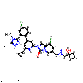 Cn1cnnc1-c1cc(F)ccc1-c1cc(C2CC2)nc(-n2cc3c(F)cc(CNCC4(O)CCC4)cn3c2=O)c1